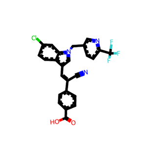 N#C/C(=C\c1cn(Cc2ccc(C(F)(F)F)nc2)c2cc(Cl)ccc12)c1ccc(C(=O)O)cc1